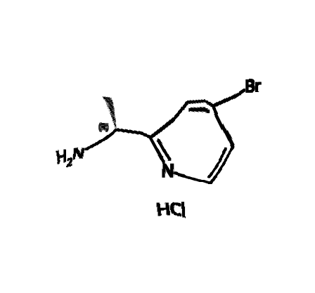 C[C@@H](N)c1cc(Br)ccn1.Cl